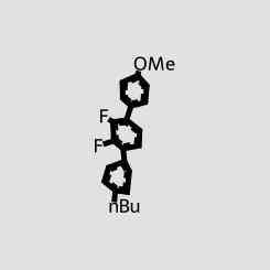 CCCCc1ccc(-c2ccc(-c3ccc(OC)cc3)c(F)c2F)cc1